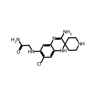 NC(=O)CNc1cc2c(cc1Cl)NC1(CCNCC1)C(N)=N2